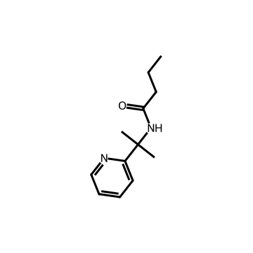 CCCC(=O)NC(C)(C)c1ccccn1